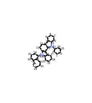 c1ccc(-n2c3ccccc3c3ccc4c(c5ccccc5n4-c4cccc5ccccc45)c32)cc1